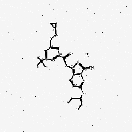 CCC(CC)Oc1ccc2n(n1)c(N)n[n+]2CC(=O)c1cc(OCC2CC2)cc(C(C)(C)C)c1.[Cl-]